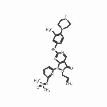 C=CCn1c(=O)c2cnc(Nc3ccc(N4CCNCC4)c(C)c3)nc2n1-c1cccc(N=S(C)(C)=O)n1